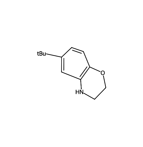 CC(C)(C)c1ccc2c(c1)NCCO2